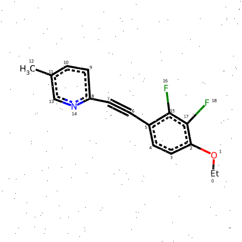 CCOc1ccc(C#Cc2ccc(C)cn2)c(F)c1F